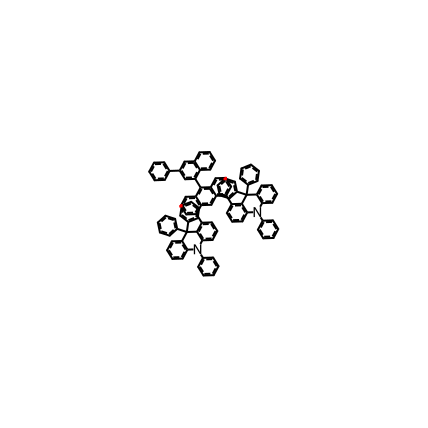 c1ccc(-c2cc(-c3c4cccc(-c5cccc6c5C(c5ccccc5)(c5ccccc5)c5ccccc5N6c5ccccc5)c4cc4c(-c5cccc6c5C(c5ccccc5)(c5ccccc5)c5ccccc5N6c5ccccc5)cccc34)c3ccccc3c2)cc1